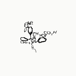 CCN(CC)C(=O)c1cccc([C@H](c2cccc(O)c2)N2C[C@@H](C)N(Cc3cccc(OCC(=O)O)c3)C[C@@H]2C)c1